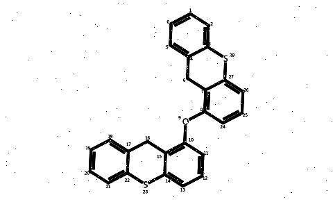 c1ccc2c(c1)Cc1c(Oc3cccc4c3Cc3ccccc3S4)cccc1S2